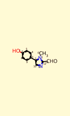 Cn1c(-c2ccc(O)cc2)cnc1C=O